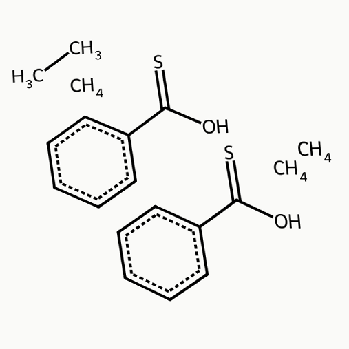 C.C.C.CC.OC(=S)c1ccccc1.OC(=S)c1ccccc1